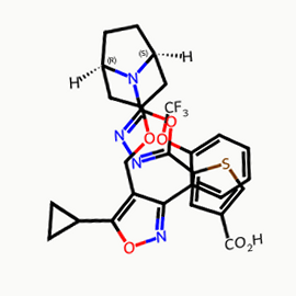 O=C(O)c1csc(-c2nnc(N3[C@@H]4CC[C@H]3CC(OCc3c(-c5ccccc5OC(F)(F)F)noc3C3CC3)C4)o2)c1